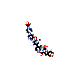 Cn1cc(-c2ccnc(-n3ccn4c5c(cc4c3=O)COCC5)c2CO)cc(Nc2ccc(N3CCN(C4COC4)CC3)cn2)c1=O